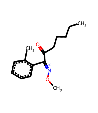 CCCCCC(=O)/C(=N/OC)c1ccccc1C